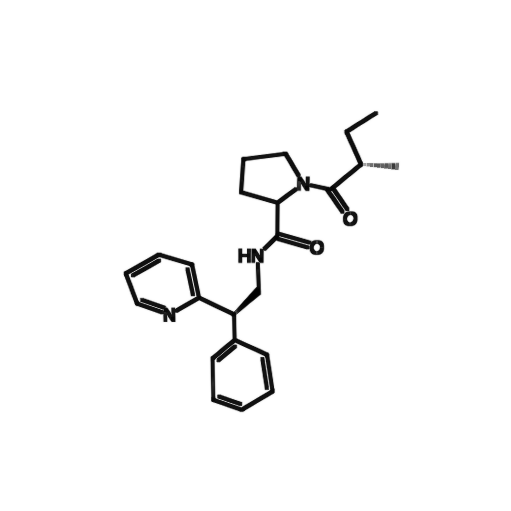 CC[C@H](C)C(=O)N1CCCC1C(=O)NC[C@@H](c1ccccc1)c1ccccn1